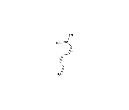 C=C/C=C\C=C/C(=C)C#N